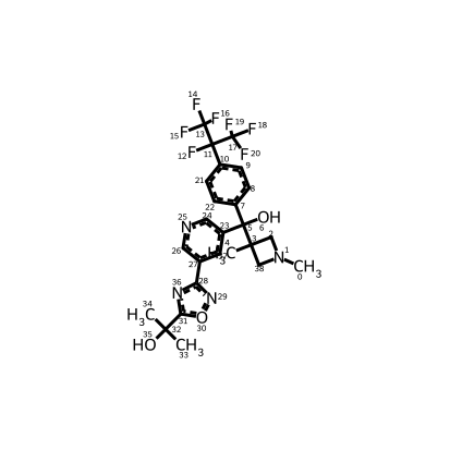 CN1CC(C)(C(O)(c2ccc(C(F)(C(F)(F)F)C(F)(F)F)cc2)c2cncc(-c3noc(C(C)(C)O)n3)c2)C1